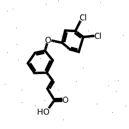 O=C(O)C=Cc1cccc(Oc2ccc(Cl)c(Cl)c2)c1